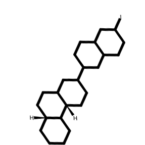 IC1CCC2CC(C3CC[C@H]4C(CC[C@H]5CCCCC54)C3)CCC2C1